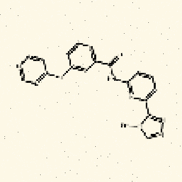 CC(C)n1cnnc1-c1cccc(NC(=O)c2cccc(Oc3ccncn3)c2)n1